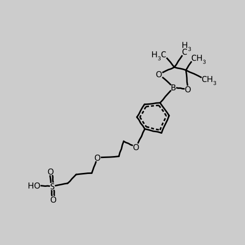 CC1(C)OB(c2ccc(OCCOCCCS(=O)(=O)O)cc2)OC1(C)C